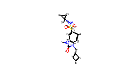 Cn1c(=O)n(CC2CCC2)c2ccc(S(=O)(=O)NC3(C)CC3)cc21